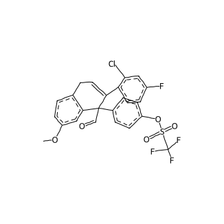 COc1ccc2c(c1)C(C=O)(c1ccc(OS(=O)(=O)C(F)(F)F)cc1)C(c1ccc(F)cc1Cl)=CC2